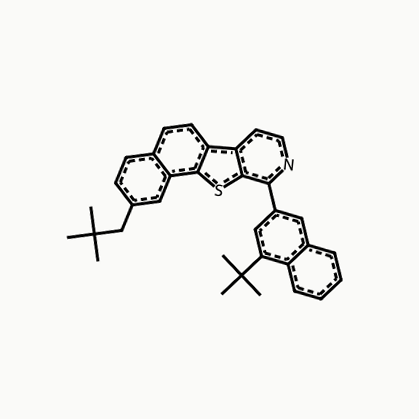 CC(C)(C)Cc1ccc2ccc3c4ccnc(-c5cc(C(C)(C)C)c6ccccc6c5)c4sc3c2c1